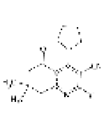 CC1(C)CC(=O)c2c(nc(Cl)c(C#N)c2C2CCCC2)C1